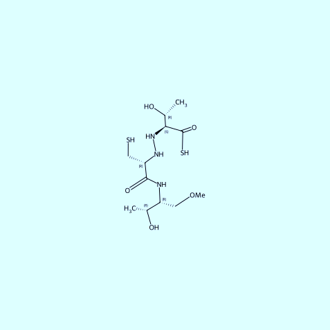 COC[C@@H](NC(=O)[C@H](CS)NN[C@H](C(=O)S)[C@@H](C)O)[C@@H](C)O